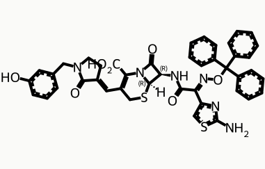 Nc1nc(C(=NOC(c2ccccc2)(c2ccccc2)c2ccccc2)C(=O)N[C@@H]2C(=O)N3C(C(=O)O)=C(C=C4CCN(Cc5cccc(O)c5)C4=O)CS[C@H]23)cs1